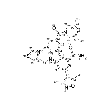 Cc1noc(C)c1-c1cc(C(N)=O)c2c3cc(C(=O)N4C[C@@H](C)O[C@@H](C)C4)ccc3n(Cc3cscn3)c2c1